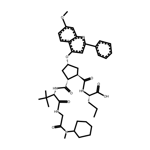 CCC[C@H](NC(=O)[C@@H]1C[C@@H](Oc2cc(-c3ccccc3)nc3cc(OC)ccc23)C[C@H]1C(=O)N[C@H](C(=O)NCC(=O)N(C)C1CCCCC1)C(C)(C)C)C(=O)O